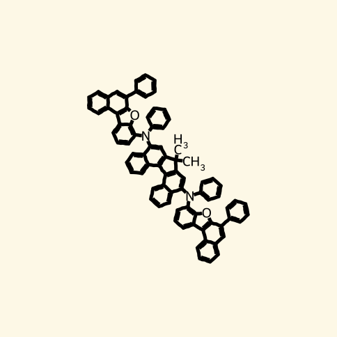 CC1(C)c2cc(N(c3ccccc3)c3cccc4c3oc3c(-c5ccccc5)cc5ccccc5c34)c3ccccc3c2-c2c1cc(N(c1ccccc1)c1cccc3c1oc1c(-c4ccccc4)cc4ccccc4c13)c1ccccc21